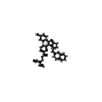 CN(C)CCNc1nccc(-c2c(-c3ccc(F)cc3)nc3n2[C@H](CN2CCc4ccccc4C2)CC3)n1